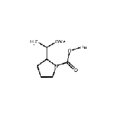 COC(C)C1CCCN1C(=O)OC(C)(C)C